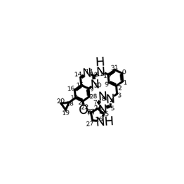 c1cc(Cn2cncn2)cc(Nc2ncc3cc(C4CC4)c(O[C@H]4CCNC4)cc3n2)c1